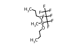 CCCO[Si](C)(OCCC)C(F)(F)C(F)(F)C(F)(F)F